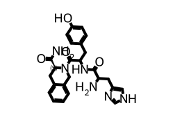 NC(=O)[C@@H]1Cc2ccccc2CN1C(=O)C(Cc1ccc(O)cc1)NC(=O)C(N)Cc1c[nH]cn1